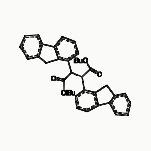 CC(C)COC(=O)C(c1cccc2c1Cc1ccccc1-2)C(C(=O)OCC(C)C)c1cccc2c1Cc1ccccc1-2